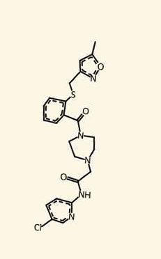 Cc1cc(CSc2ccccc2C(=O)N2CCN(CC(=O)Nc3ccc(Cl)cn3)CC2)no1